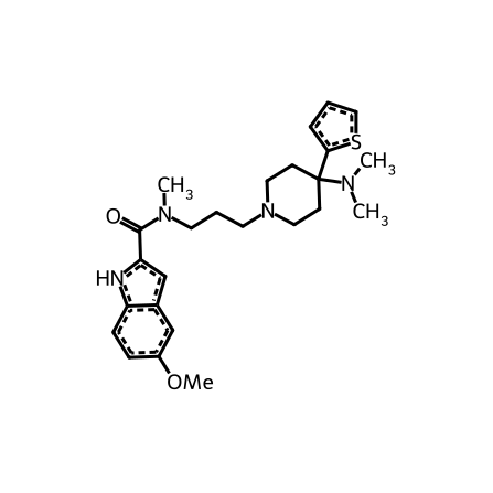 COc1ccc2[nH]c(C(=O)N(C)CCCN3CCC(c4cccs4)(N(C)C)CC3)cc2c1